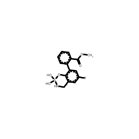 COC(=O)c1ccccc1-c1cc(F)cc2c1OS(O)(O)NC2